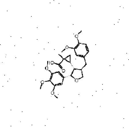 COc1ccc(C[C@H]2CO[C@H](c3cc(OC)c(OC)c(OC)c3)[C@@H]2C2CC2(C)C(=O)O)cc1OC